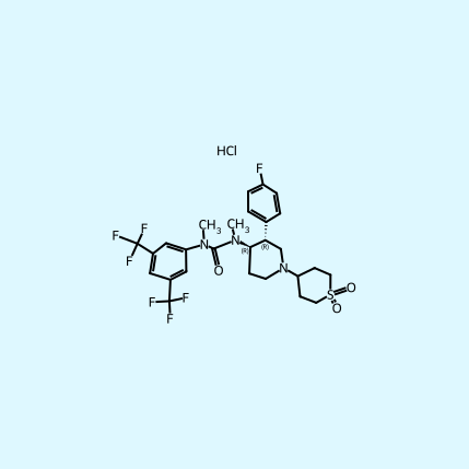 CN(C(=O)N(C)[C@@H]1CCN(C2CCS(=O)(=O)CC2)C[C@H]1c1ccc(F)cc1)c1cc(C(F)(F)F)cc(C(F)(F)F)c1.Cl